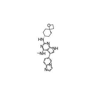 CNc1nc(N[C@H]2CC[C@@]3(CCO3)CC2)nc2[nH]cc(-c3ccc4nccn4c3)c12